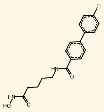 O=C(CCCCNC(=O)c1ccc(-c2ccc(Cl)cc2)cc1)NO